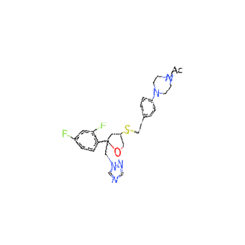 CC(=O)N1CCN(c2ccc(CSC3COC(Cn4cncn4)(c4ccc(F)cc4F)C3)cc2)CC1